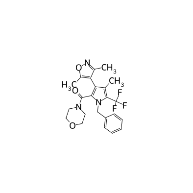 Cc1noc(C)c1-c1c(C)c(C(F)(F)F)n(Cc2ccccc2)c1C(=O)N1CCOCC1